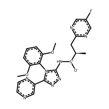 COc1cccc(OC)c1-n1c(N[S+]([O-])[C@H](C)Cc2ncc(F)cn2)nnc1-c1cnccn1